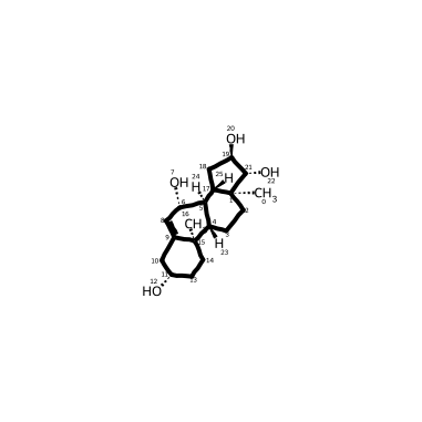 C[C@]12CC[C@H]3[C@@H]([C@@H](O)C=C4C[C@@H](O)CC[C@@]43C)[C@@H]1C[C@@H](O)[C@@H]2O